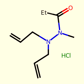 C=CCN(CC=C)N(C)C(=O)CC.Cl